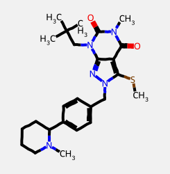 CSc1c2c(=O)n(C)c(=O)n(CC(C)(C)C)c2nn1Cc1ccc(C2CCCCN2C)cc1